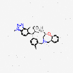 CCC1CN(Cc2cc([C@H](c3ccc4c(nnn4C)c3C)[C@H](C)C(=O)O)ccc2C)Cc2ccccc2O1